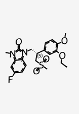 CCOc1cc([C@@H](Cn2c(=O)n(C)c3cc(F)ccc32)CS(C)(=O)=O)ccc1OC